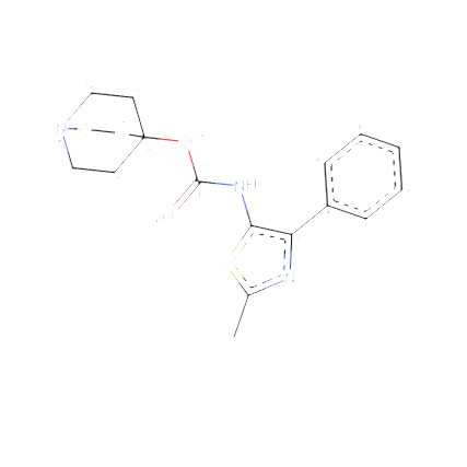 Cc1nc(-c2ccccc2)c(NC(=O)OC23CCN(CC2)CC3)s1